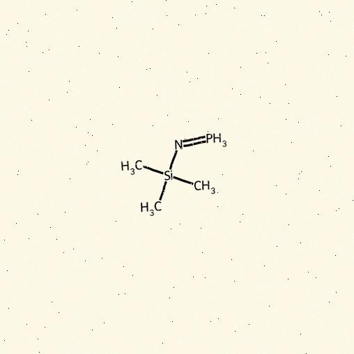 C[Si](C)(C)N=[PH3]